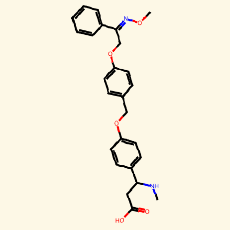 CNC(CC(=O)O)c1ccc(OCc2ccc(OC/C(=N\OC)c3ccccc3)cc2)cc1